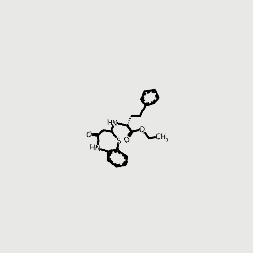 CCOC(=O)[C@@H](CCc1ccccc1)NC1CC(=O)Nc2ccccc2S1